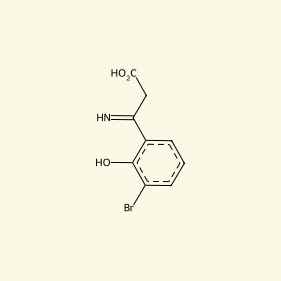 N=C(CC(=O)O)c1cccc(Br)c1O